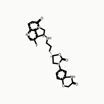 O=C1COc2ccc(N3C[C@H](CCCN[C@@H]4Cn5c(=O)ccc6ncc(F)c4c65)OC3=O)cc2N1